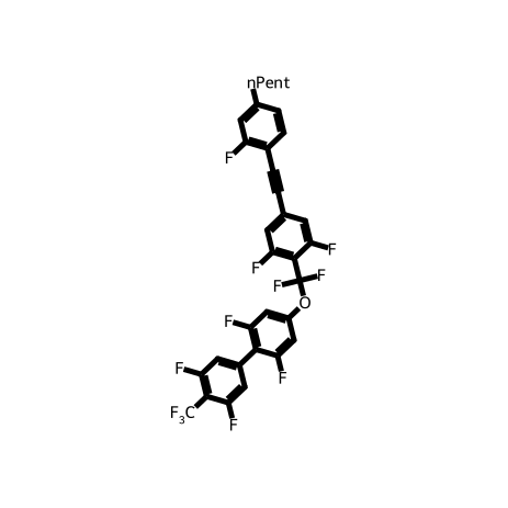 CCCCCc1ccc(C#Cc2cc(F)c(C(F)(F)Oc3cc(F)c(-c4cc(F)c(C(F)(F)F)c(F)c4)c(F)c3)c(F)c2)c(F)c1